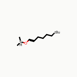 C[SiH](C)OC=CCCCCC(C)(C)C